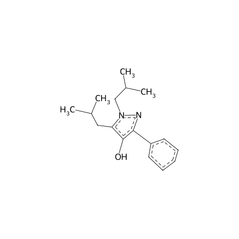 CC(C)Cc1c(O)c(-c2ccccc2)nn1CC(C)C